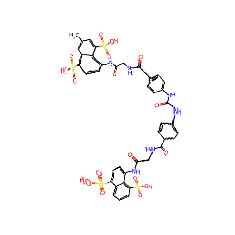 Cc1cc(S(=O)(=O)O)c2c(NC(=O)CNC(=O)c3ccc(NC(=O)Nc4ccc(C(=O)NCC(=O)Nc5ccc(S(=O)(=O)O)c6cccc(S(=O)(=O)O)c56)cc4)cc3)ccc(S(=O)(=O)O)c2c1